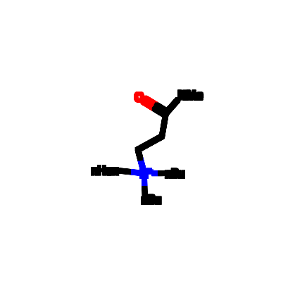 CCCCCC[N+](CCCC)(CCCC)CCC(=O)NC